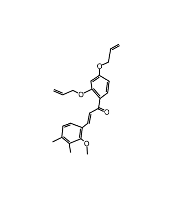 C=CCOc1ccc(C(=O)/C=C/c2ccc(C)c(C)c2OC)c(OCC=C)c1